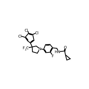 O=C(NCc1ccc(N2CCC(c3cc(Cl)c(Cl)c(Cl)c3)(C(F)(F)F)C2)cc1F)C1CC1